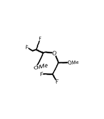 COC(OC(OC)C(F)F)C(F)F